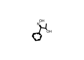 CC(O)C(=NO)c1ccccc1